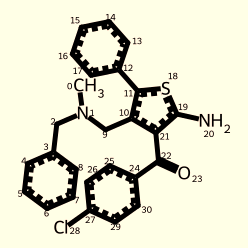 CN(Cc1ccccc1)Cc1c(-c2ccccc2)sc(N)c1C(=O)c1ccc(Cl)cc1